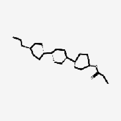 CCC[C@H]1CC[C@H]([C@H]2CC[C@H]([C@H]3CC[C@H](OC(=O)CC)CC3)CC2)CC1